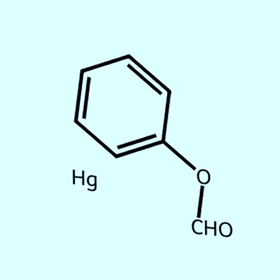 O=COc1ccccc1.[Hg]